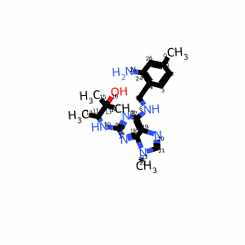 Cc1ccc(CNc2nc(NC(C)C(C)(C)O)nc3c2ncn3C)c(N)c1